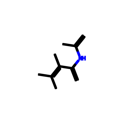 C=C(C)NC(=C)C(C)=C(C)C